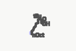 CCCCCCCC/C=C\CCCCCCC(C(=O)OO)C(C)(C)C